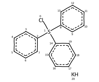 ClS(c1ccccc1)(c1ccccc1)c1ccccc1.[KH]